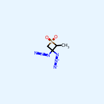 CC1C(N=[N+]=[N-])(N=[N+]=[N-])CS1(=O)=O